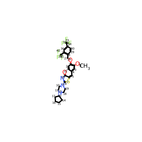 COc1cc(/C=C2/SC(N3CCN(C4CCCC4)CC3)=NC2=O)ccc1OCc1ccc(C(F)(F)F)cc1C(F)(F)F